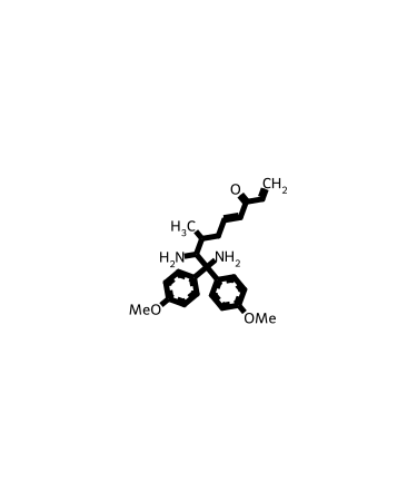 C=CC(=O)C=CCC(C)C(N)C(N)(c1ccc(OC)cc1)c1ccc(OC)cc1